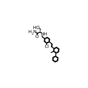 Cc1c(/C=C/c2ccc(CN[C@H](CO)C(N)=O)cc2Cl)cccc1-c1ccccc1